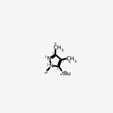 Cc1nn(I)c(C(C)(C)C)c1C